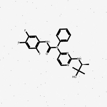 C[C@H](Nc1nccc(N(C(=O)Nc2cc(F)c(F)cc2F)c2ccccc2)n1)C(C)(C)O